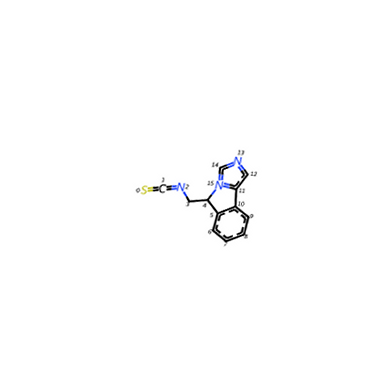 S=C=NCC1c2ccccc2-c2cncn21